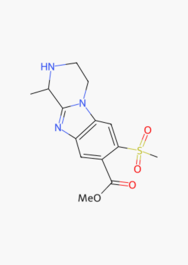 COC(=O)c1cc2nc3n(c2cc1S(C)(=O)=O)CCNC3C